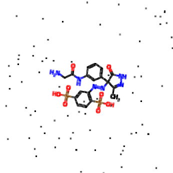 CC1=NNC(=O)C1(N=Nc1cc(S(=O)(=O)O)ccc1S(=O)(=O)O)c1cccc(NC(=O)CN)c1